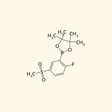 CC1(C)OB(c2cc(S(C)(=O)=O)ccc2F)OC1(C)C